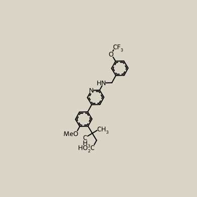 COc1ccc(-c2ccc(NCc3cccc(OC(F)(F)F)c3)nc2)cc1C(C)(C)CC(=O)O